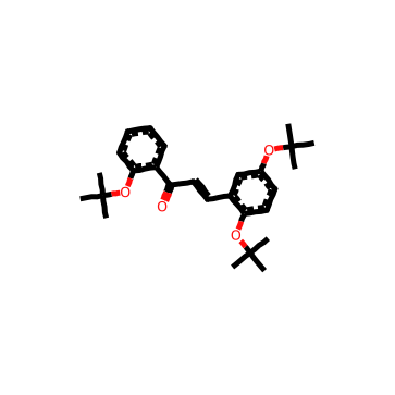 CC(C)(C)Oc1ccc(OC(C)(C)C)c(C=CC(=O)c2ccccc2OC(C)(C)C)c1